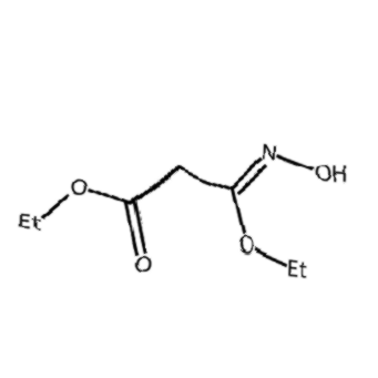 CCOC(=O)CC(=NO)OCC